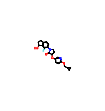 O=C1[C@H](Oc2ccc(OCC3CC3)nc2)CCN1c1ccc2c(c1F)C(O)CC2